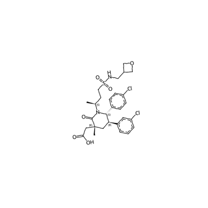 C[C@@H](CCS(=O)(=O)NCC1COC1)N1C(=O)[C@@](C)(CC(=O)O)C[C@H](c2cccc(Cl)c2)[C@H]1c1ccc(Cl)cc1